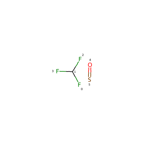 FC(F)F.O=S